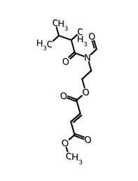 COC(=O)/C=C/C(=O)OCCN(C=O)C(=O)C(C)C(C)C